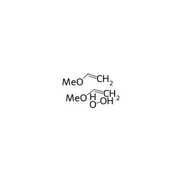 C=COC.C=COC.OO